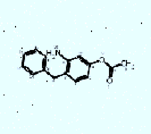 CC(=O)Oc1ccc(Cc2ccccc2)c(N)c1